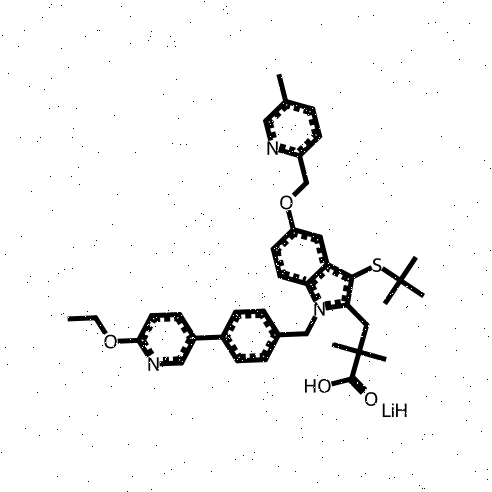 CCOc1ccc(-c2ccc(Cn3c(CC(C)(C)C(=O)O)c(SC(C)(C)C)c4cc(OCc5ccc(C)cn5)ccc43)cc2)cn1.[LiH]